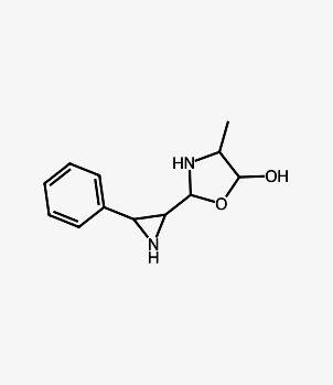 CC1NC(C2NC2c2ccccc2)OC1O